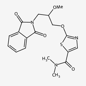 COC(COc1ncc(C(=O)N(C)C)s1)CN1C(=O)c2ccccc2C1=O